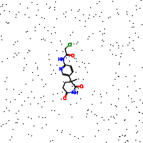 CC1(c2ccc(NC(=O)CCl)nc2)CCC(=O)NC1=O